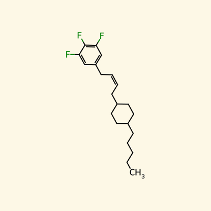 CCCCCC1CCC(C/C=C\Cc2cc(F)c(F)c(F)c2)CC1